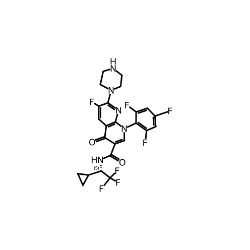 O=C(N[C@@H](C1CC1)C(F)(F)F)c1cn(-c2c(F)cc(F)cc2F)c2nc(N3CCNCC3)c(F)cc2c1=O